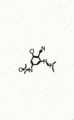 CN(C)C=Nc1cc(N=S(C)(C)=O)cc(Cl)c1C#N